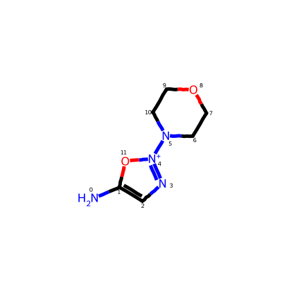 Nc1cn[n+](N2CCOCC2)o1